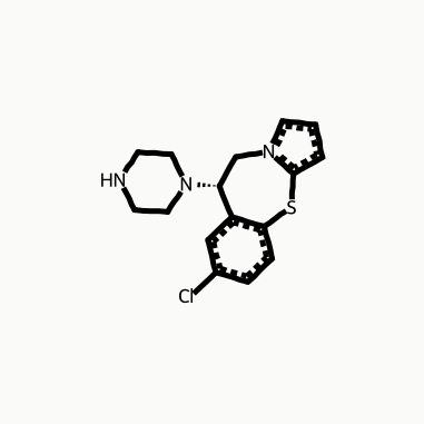 Clc1ccc2c(c1)[C@H](N1CCNCC1)Cn1cccc1S2